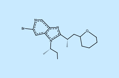 CC[C@H](C)n1c([C@@H](C)CC2CCCCO2)nc2cnc(Br)cc21